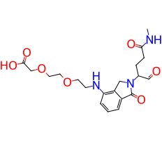 CNC(=O)CCC(C=O)N1Cc2c(NCCOCCOCC(=O)O)cccc2C1=O